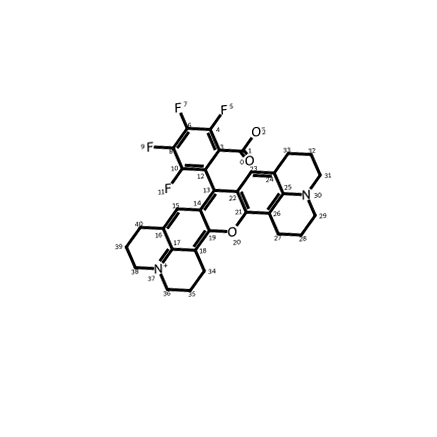 O=C([O-])c1c(F)c(F)c(F)c(F)c1C1=c2cc3c4c(c2Oc2c1cc1c5c2CCCN5CCC1)CCC[N+]=4CCC3